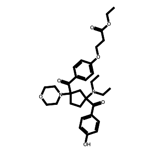 CCOC(=O)CCOc1ccc(C(=O)C2(N3CCOCC3)CCC(C(=O)c3ccc(O)cc3)(N(CC)CC)C2)cc1